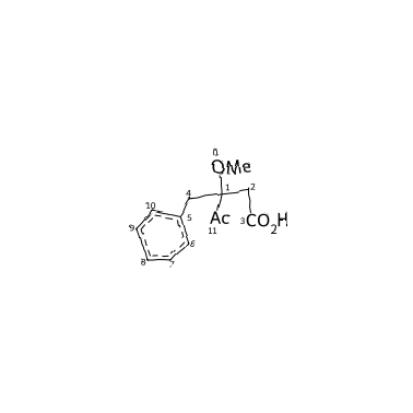 COC(CC(=O)O)(Cc1ccccc1)C(C)=O